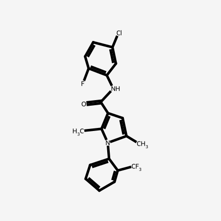 Cc1cc(C(=O)Nc2cc(Cl)ccc2F)c(C)n1-c1ccccc1C(F)(F)F